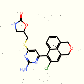 Nc1nc(SCC2CNC(=O)O2)cc(-c2c(Cl)cc3c4c(cccc24)COC3)n1